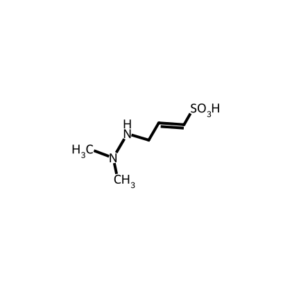 CN(C)NCC=CS(=O)(=O)O